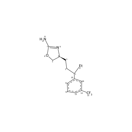 CCC(CC[C@H]1COC(N)=N1)c1cccc(C(F)(F)F)c1